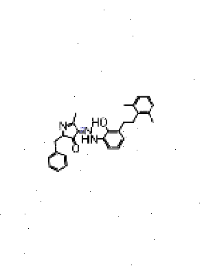 CC1=NC(Cc2ccccc2)C(=O)/C1=N\Nc1cccc(CCc2c(C)cccc2C)c1O